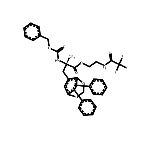 C[C@@](Cc1cc2c(-c3ccccc3)c(-c3ccccc3)c1OCO2)(NC(=O)OCc1ccccc1)C(=O)OCCNC(=O)C(F)(F)F